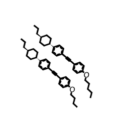 CCCCCOc1ccc(C#Cc2ccc([C@H]3CC[C@H](CCC)CC3)cc2)cc1.CCCCOc1ccc(C#Cc2ccc([C@H]3CC[C@H](CCC)CC3)cc2)cc1